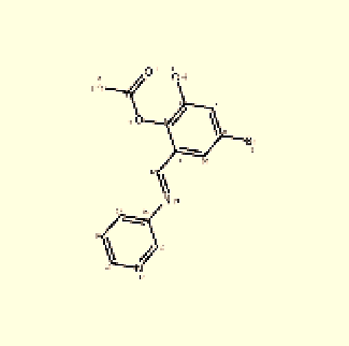 CC(C)C(=O)Oc1c(O)cc(Br)cc1C=Nc1cccnc1